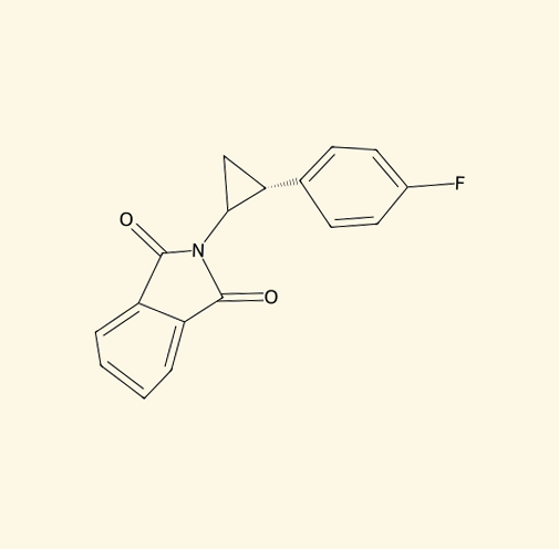 O=C1c2ccccc2C(=O)N1C1C[C@@H]1c1ccc(F)cc1